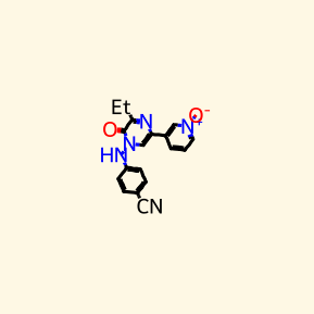 CCc1nc(-c2ccc[n+]([O-])c2)cn(Nc2ccc(C#N)cc2)c1=O